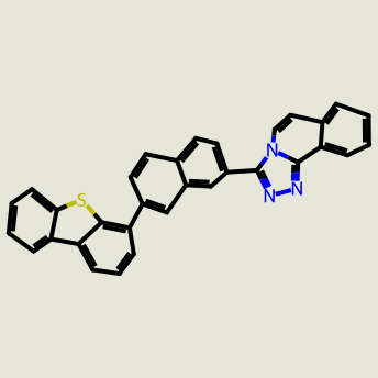 c1ccc2c(c1)ccn1c(-c3ccc4ccc(-c5cccc6c5sc5ccccc56)cc4c3)nnc21